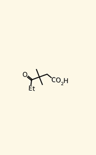 CCC(=O)C(C)(C)CC(=O)O